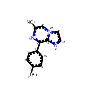 CC(C)(C)c1ccc(-c2nc(C#N)cn3ccnc23)cc1